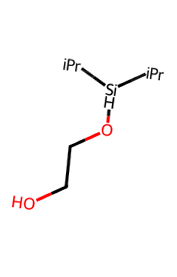 CC(C)[SiH](OCCO)C(C)C